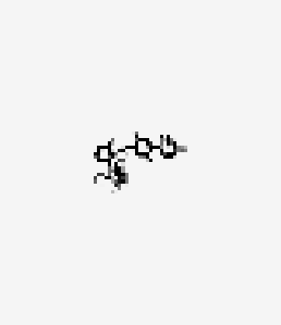 Cc1ccc(-c2cc(C)c(COc3c(C)cccc3-n3nnn(C)c3=O)cc2C)nc1